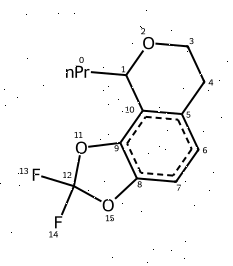 CCCC1OCCc2ccc3c(c21)OC(F)(F)O3